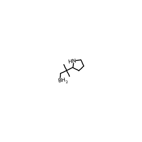 BCC(C)(C)C1CCCN1